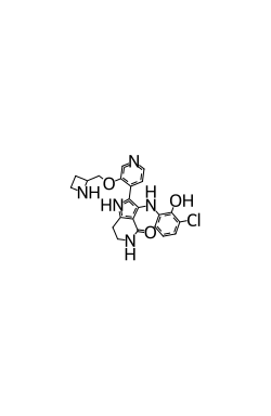 O=C1NCCc2[nH]c(-c3ccncc3OCC3CCN3)c(Nc3cccc(Cl)c3O)c21